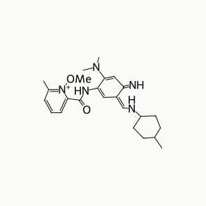 CO[n+]1c(C)cccc1C(=O)NC1=C/C(=C/NC2CCC(C)CC2)C(=N)C=C1N(C)C